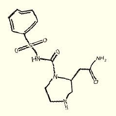 NC(=O)CC1CNCCN1C(=O)NS(=O)(=O)c1ccccc1